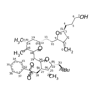 C=C1C[C@H](CCCO)OC1CC[C@H]1C[C@@H](C)C(=C)C(CC2O[C@H](C[C@H](C)CC)[C@H](C)[C@H]2CS(=O)(=O)c2ccccc2)O1